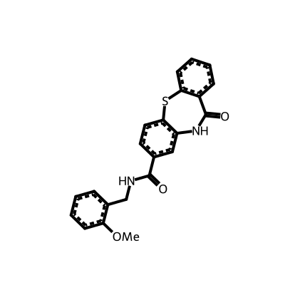 COc1ccccc1CNC(=O)c1ccc2c(c1)NC(=O)c1ccccc1S2